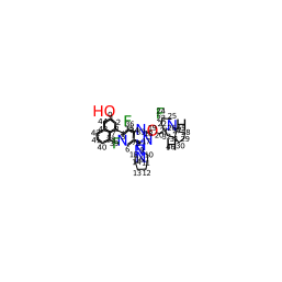 Oc1cc(-c2ncc3c(N4CC5CCC(C4)N5)nc(OC[C@@]45C[C@H](F)CN4[C@@H]4CCC[C@@H]4C5)nc3c2F)c2c(F)cccc2c1